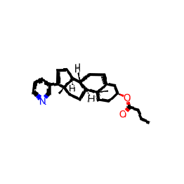 CCCC(=O)O[C@H]1CC[C@@]2(C)C(=CC[C@@H]3[C@@H]2CC[C@]2(C)C(c4cccnc4)=CC[C@@H]32)C1